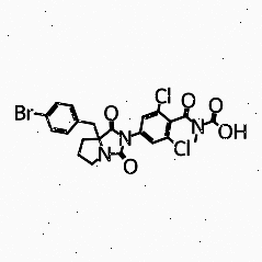 CN(C(=O)O)C(=O)c1c(Cl)cc(N2C(=O)N3CCCC3(Cc3ccc(Br)cc3)C2=O)cc1Cl